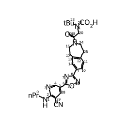 CCCNc1ncc(-c2nc(-c3ccc4c(c3)CCN(C(=O)CN(C(=O)O)C(C)(C)C)CC4)no2)cc1C#N